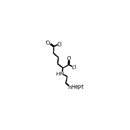 CCCCCCCCCNC(CCCC(=O)Cl)C(=O)Cl